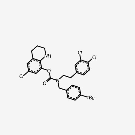 CC(C)(C)c1ccc(CN(CCc2ccc(Cl)c(Cl)c2)C(=O)Oc2cc(Cl)cc3c2NCCC3)cc1